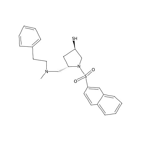 CN(CCc1ccccc1)C[C@@H]1C[C@@H](S)CN1S(=O)(=O)c1ccc2ccccc2c1